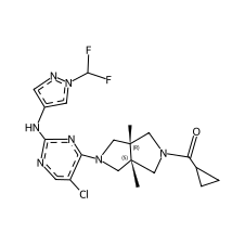 C[C@@]12CN(C(=O)C3CC3)C[C@]1(C)CN(c1nc(Nc3cnn(C(F)F)c3)ncc1Cl)C2